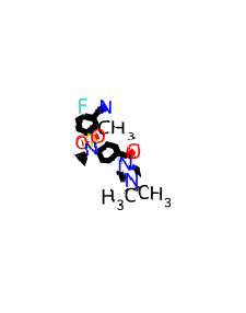 Cc1c(S(=O)(=O)N(C2CCC(C(=O)N3CCN(C(C)C)CC3)CC2)C2CC2)ccc(F)c1C#N